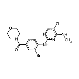 CNc1nc(Nc2ccc(C(=O)N3CCOCC3)cc2Br)ncc1Cl